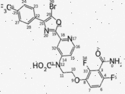 NC(=O)c1c(F)ccc(OCCN(C(=O)O)c2ccnc(-c3nc(-c4ccc(C(F)(F)F)cc4)c(Br)o3)c2)c1F